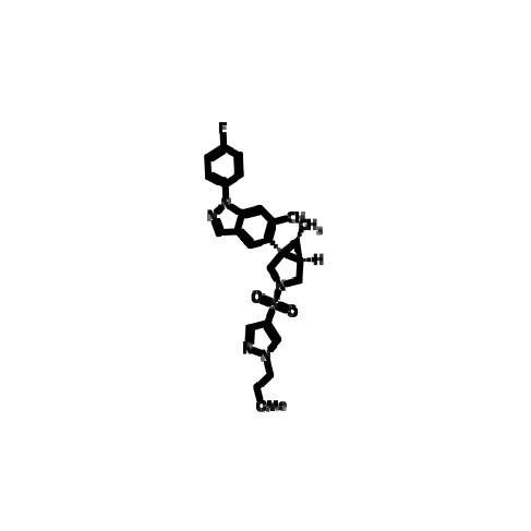 COCCn1cc(S(=O)(=O)N2C[C@@H]3[C@@H](C)[C@]3(c3cc4cnn(-c5ccc(F)cc5)c4cc3C)C2)cn1